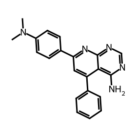 CN(C)c1ccc(-c2cc(-c3ccccc3)c3c(N)ncnc3n2)cc1